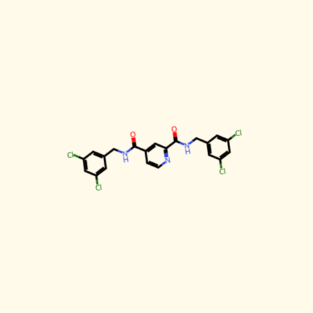 O=C(NCc1cc(Cl)cc(Cl)c1)c1ccnc(C(=O)NCc2cc(Cl)cc(Cl)c2)c1